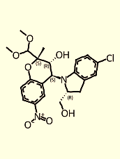 COC(OC)[C@@]1(C)Oc2ccc([N+](=O)[O-])cc2[C@H](N2c3ccc(Cl)cc3C[C@@H]2CO)[C@H]1O